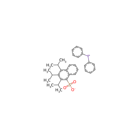 CC(C)c1c(C(C)C)c(S(=O)(=O)[O-])c2ccccc2c1C(C)C.c1ccc([I+]c2ccccc2)cc1